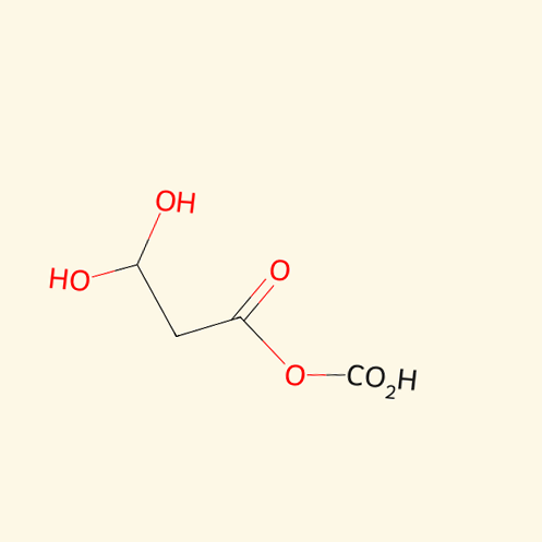 O=C(O)OC(=O)CC(O)O